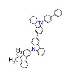 CC1(C)c2ccccc2-c2cc(N3c4ccccc4C4C=C(c5ccc6c(c5)c5c(n6C6=CC=C(c7ccccc7)CC6)CCC=C5)C=CC43)ccc21